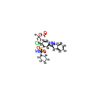 CC(C)(C)OC=O.O=S(=O)(NC1CCCCC1)c1cc(-c2cc3ccccc3[nH]2)ccc1Cl